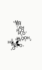 O.O.O.O.[KH].[KH].[Mn].[O]=[Mn](=[O])(=[O])[OH]